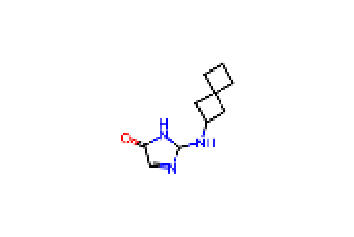 O=C1C=NC(NC2CC3(CCC3)C2)N1